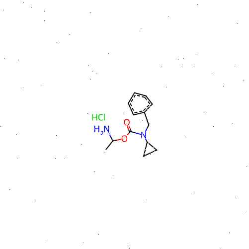 CC(N)OC(=O)N(Cc1ccccc1)C1CC1.Cl